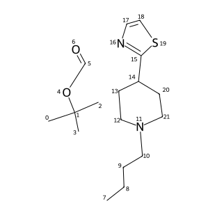 CC(C)(C)OC=O.CCCCN1CCC(c2nccs2)CC1